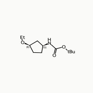 CCO[C@@H]1CC[C@H](NC(=O)OC(C)(C)C)C1